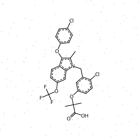 Cc1c(Oc2ccc(Cl)cc2)c2ccc(OC(F)(F)F)cc2n1Cc1cc(OC(C)(C)C(=O)O)ccc1Cl